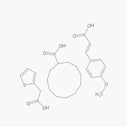 COc1ccc(C=CC(=O)O)cc1.O=C(O)C1CCCCCCCCCC1.O=C(O)Cc1cccs1